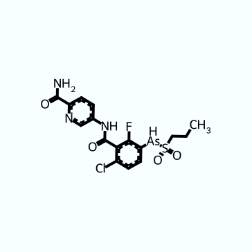 CCCS(=O)(=O)[AsH]c1ccc(Cl)c(C(=O)Nc2ccc(C(N)=O)nc2)c1F